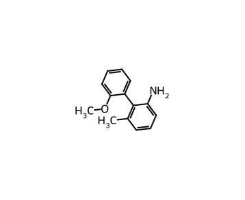 COc1ccccc1-c1c(C)cccc1N